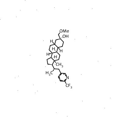 COC[C@@]1(O)CC[C@H]2[C@H](CC[C@@H]3[C@@H]2CC[C@]2(C)[C@@H]([C@H](C)Cc4ccc(C(F)(F)F)nc4)CC[C@@H]32)C1